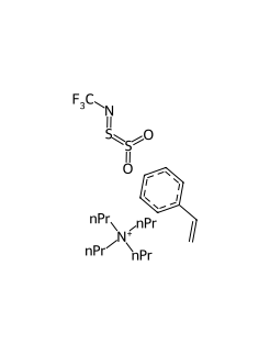 C=Cc1ccccc1.CCC[N+](CCC)(CCC)CCC.O=S(=O)=S=NC(F)(F)F